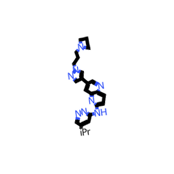 CC(C)c1cnnc(Nc2ccc3ncc(-c4cnn(CCCN5CCC5)c4)cc3n2)c1